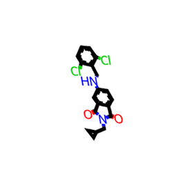 O=C1c2ccc(NCc3c(Cl)cccc3Cl)cc2C(=O)N1CC1CC1